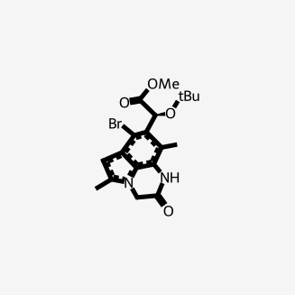 COC(=O)[C@@H](OC(C)(C)C)c1c(C)c2c3c(cc(C)n3CC(=O)N2)c1Br